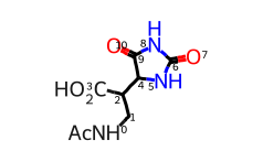 CC(=O)NCC(C(=O)O)C1NC(=O)NC1=O